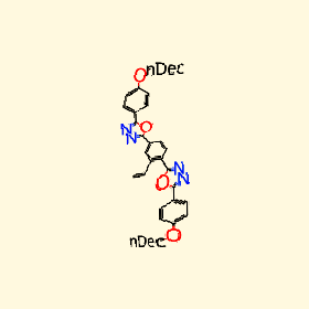 C=Cc1cc(-c2nnc(-c3ccc(OCCCCCCCCCC)cc3)o2)ccc1-c1nnc(-c2ccc(OCCCCCCCCCC)cc2)o1